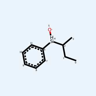 CCC(C)[SiH]([O])c1ccccc1